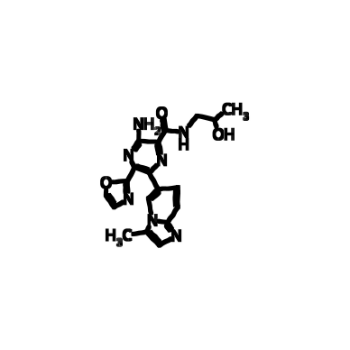 Cc1cnc2ccc(-c3nc(C(=O)NCC(C)O)c(N)nc3-c3ncco3)cn12